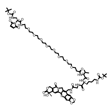 CC(C)[C@H](NC(=O)CCOCCOCCOCCOCCOCCOCCOCCOCCNC(=O)[C@H](CNC(=O)OC(C)(C)C)N1C(=O)C=CC1=O)C(=O)N[C@@H](CCCCNC(=O)OC(C)(C)C)C(=O)NCC(=O)NCc1c2c(nc3cc4c(cc13)OCO4)-c1cc3c(c(=O)n1C2)COC(=O)[C@@]3(C)O